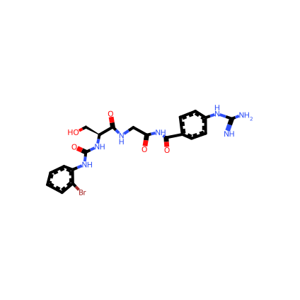 N=C(N)Nc1ccc(C(=O)NC(=O)CNC(=O)[C@H](CO)NC(=O)Nc2ccccc2Br)cc1